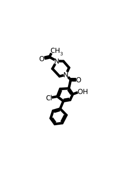 CC(=O)N1CCN(C(=O)c2cc(Cl)c(-c3ccccc3)cc2O)CC1